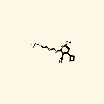 COCCSCSc1nc(O)cc(C2CCC2)c1C#N